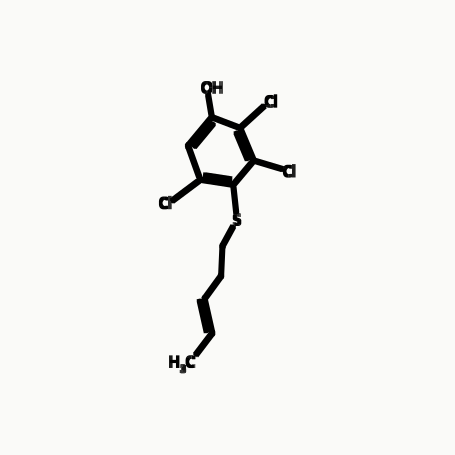 CC=CCCSc1c(Cl)cc(O)c(Cl)c1Cl